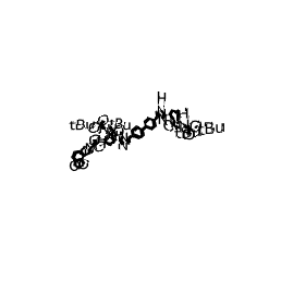 CC(C)(C)OC(=O)NC(C(=O)N1CCC[C@H]1c1nc(-c2ccc(-c3ccc(-c4cnc([C@@H]5C[C@@H](OC(=O)N6Cc7ccc8c(c7C6)OCO8)CN5C(=O)[C@@H](NC(=O)OC(C)(C)C)C(C)(C)C)[nH]4)cc3)cc2)c[nH]1)C(C)(C)C